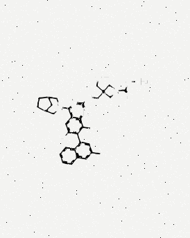 Cc1cc(-c2c(F)cc3c(N4CC5CCC(C5)C4)nc(OCC4(CO)CN(C(=O)OC(C)(C)C)C4)nc3c2F)c2ccccc2c1